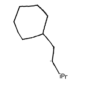 CC(C)[CH]CC1CCCCC1